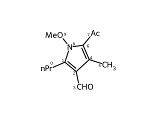 CCCc1c(C=O)c(C)c(C(C)=O)n1OC